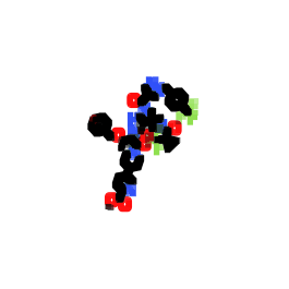 COC(=O)c1ccc(C2CCN(C(=O)[C@@H](NC(=O)[C@@H]3CN(C(=O)c4cnn(Cc5ccc(C(F)(F)F)cc5)c4)CC34CN(C(=O)C3(C(F)(F)F)CC3)C4)[C@@H](C)OCC34CCC(CC3)OC4)CC2)cn1